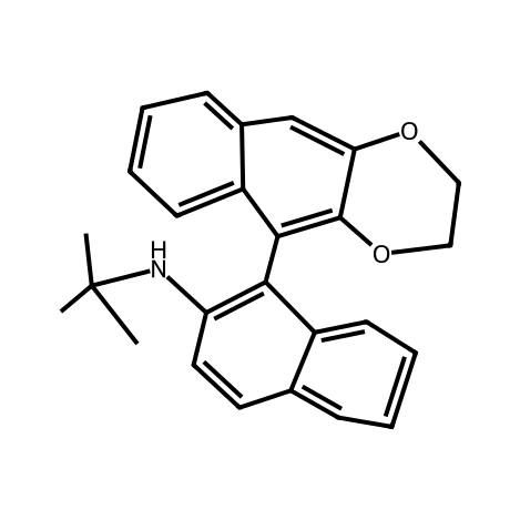 CC(C)(C)Nc1ccc2ccccc2c1-c1c2c(cc3ccccc13)OCCO2